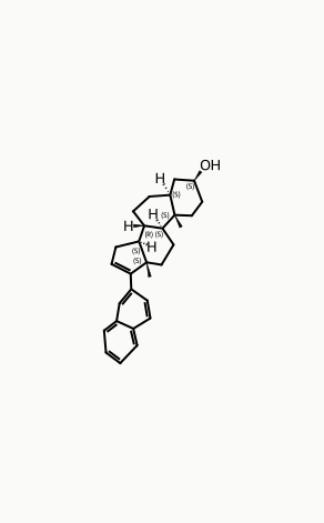 C[C@]12CC[C@H](O)C[C@@H]1CC[C@@H]1[C@@H]2CC[C@]2(C)C(c3ccc4ccccc4c3)=CC[C@@H]12